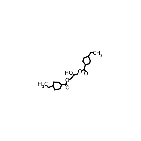 CCC1CCC(C(=O)OCC(O)COC(=O)C2CCC(CC)CC2)CC1